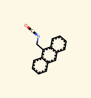 O=C=NCc1c2ccccc2cc2ccccc12